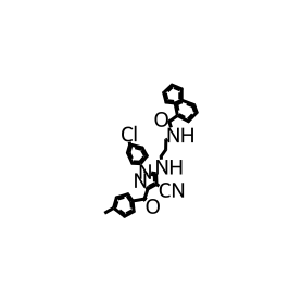 Cc1ccc(C(=O)c2nn(-c3ccc(Cl)cc3)c(NCCCNC(=O)c3cccc4ccccc34)c2C#N)cc1